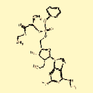 CCOC(=O)[C@@H](C)N[P@@](=O)(OC[C@H]1O[C@@H](n2cnc3c(NC)nc(N)nc32)[C@@H](CO)[C@@H]1O)Oc1ccccc1